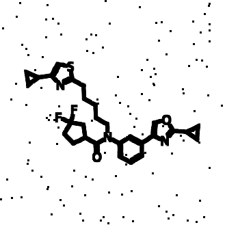 O=C(C1CCC(F)(F)C1)N(CCCCCc1nc(C2CC2)cs1)c1cccc(-c2coc(C3CC3)n2)c1